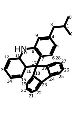 CC(C)Cc1ccc2c(c1)NC1C=CC=CC1C21c2ccccc2-c2ccccc21